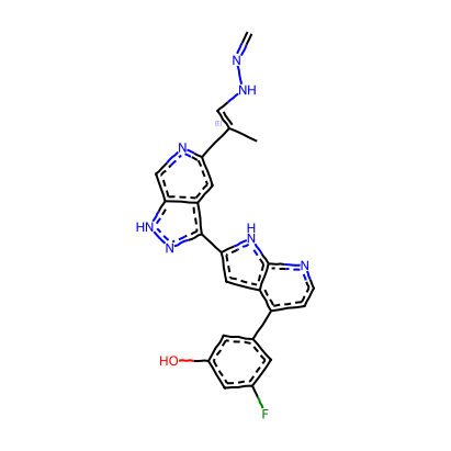 C=NN/C=C(\C)c1cc2c(-c3cc4c(-c5cc(O)cc(F)c5)ccnc4[nH]3)n[nH]c2cn1